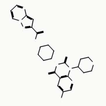 O=C(N[C@H]1CC[C@@H](n2c(=O)c3cc(F)cnc3n(C3CCSCC3)c2=O)CC1)c1cc2ncccn2n1